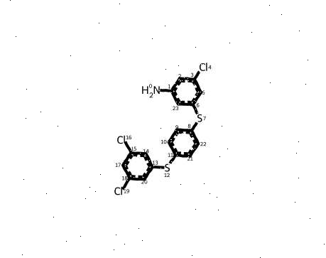 Nc1cc(Cl)cc(Sc2ccc(Sc3cc(Cl)cc(Cl)c3)cc2)c1